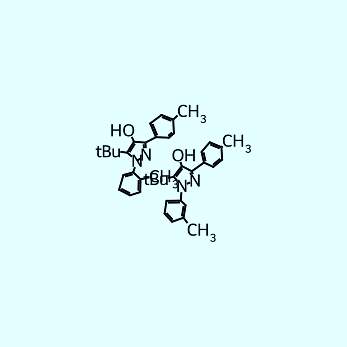 Cc1ccc(-c2nn(-c3cccc(C)c3)c(C(C)(C)C)c2O)cc1.Cc1ccc(-c2nn(-c3ccccc3C)c(C(C)(C)C)c2O)cc1